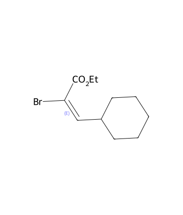 CCOC(=O)/C(Br)=C\C1CCCCC1